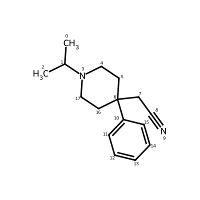 CC(C)N1CCC(CC#N)(c2ccccc2)CC1